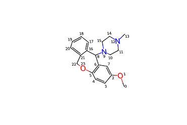 COc1ccc2c(c1)C(N1CCN(C)CC1)c1ccccc1CO2